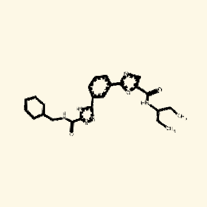 CCC(CC)NC(=O)c1cnc(-c2cccc(-c3nnc(C(=O)NCC4CCCCC4)[nH]3)c2)o1